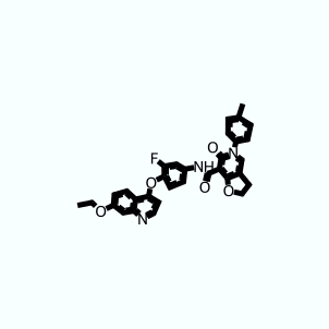 CCOc1ccc2c(Oc3ccc(NC(=O)c4c5c(cn(-c6ccc(C)cc6)c4=O)CCO5)cc3F)ccnc2c1